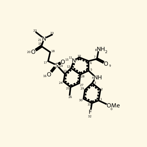 COc1cc(Nc2c(C(N)=O)cnc3c(S(=O)(=O)CCC(=O)N(C)C)cc(C)cc23)ccc1F